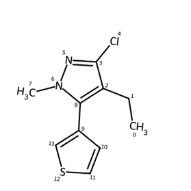 CCc1c(Cl)nn(C)c1-c1ccsc1